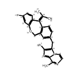 CCCc1nc2c(C)nccn2c1Cc1ccc2c(c1)COc1cc(F)ccc1/C2=C(\C)C#N